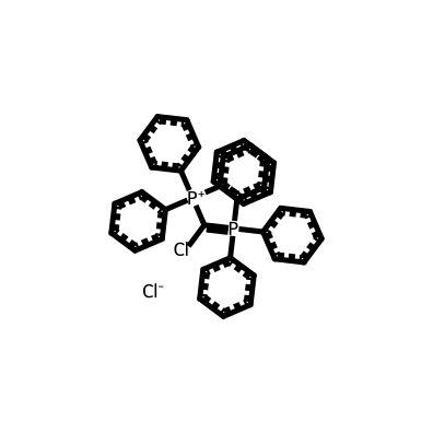 ClC(=P(c1ccccc1)(c1ccccc1)c1ccccc1)[P+](c1ccccc1)(c1ccccc1)c1ccccc1.[Cl-]